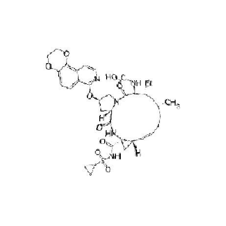 CC[C@@H]1C[C@H](C)CC/C=C\[C@@H]2C[C@@]2(C(=O)NS(=O)(=O)C2CC2)NC(=O)[C@@H]2C[C@@H](Oc3nccc4c5c(ccc34)OCCO5)CN2C(=O)[C@H]1NC(=O)O